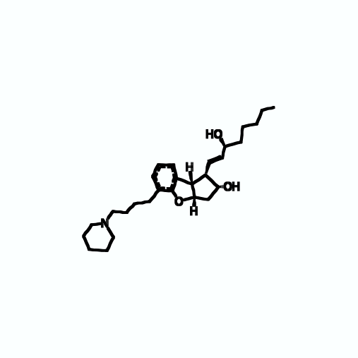 CCCCC[C@H](O)C=C[C@@H]1[C@H]2c3cccc(CCCCN4CCCCC4)c3O[C@H]2C[C@H]1O